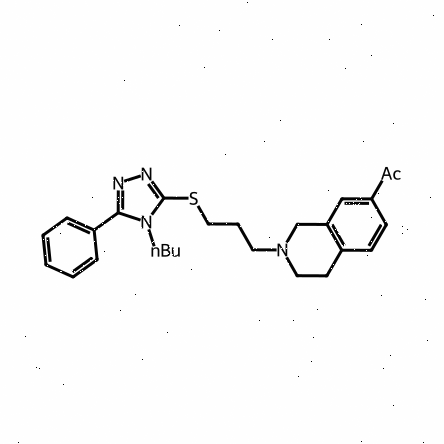 CCCCn1c(SCCCN2CCc3ccc(C(C)=O)cc3C2)nnc1-c1ccccc1